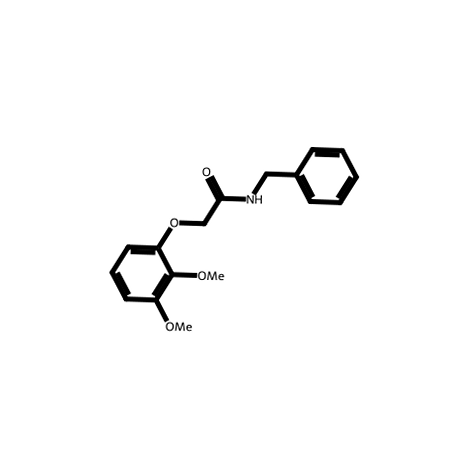 COc1cccc(OCC(=O)NCc2ccccc2)c1OC